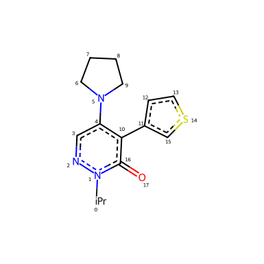 CC(C)n1ncc(N2CCCC2)c(-c2ccsc2)c1=O